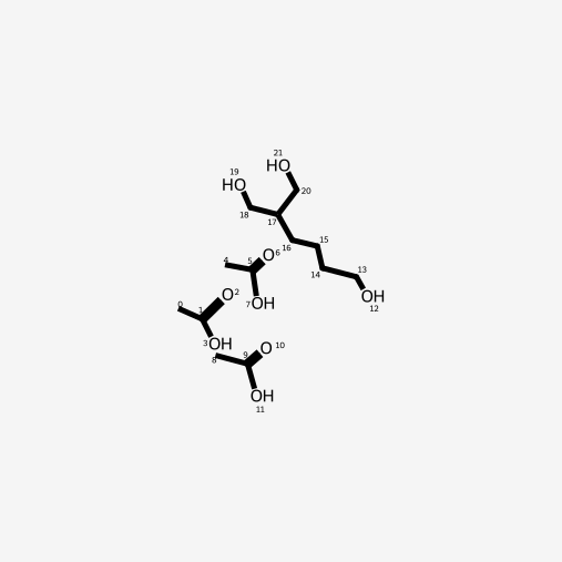 CC(=O)O.CC(=O)O.CC(=O)O.OCCCCC(CO)CO